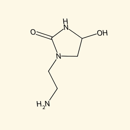 NCCN1CC(O)NC1=O